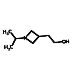 CC(C)N1CC(CCO)C1